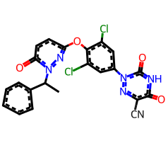 CC(c1ccccc1)n1nc(Oc2c(Cl)cc(-n3nc(C#N)c(=O)[nH]c3=O)cc2Cl)ccc1=O